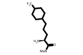 CNC(=O)[C@@H](N)CCCC1CCC(C(F)(F)F)CC1